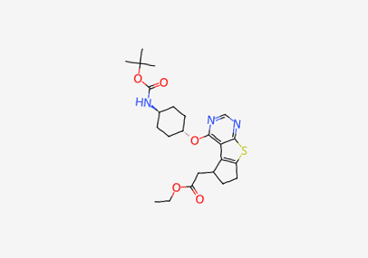 CCOC(=O)CC1CCc2sc3ncnc(O[C@H]4CC[C@H](NC(=O)OC(C)(C)C)CC4)c3c21